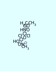 CC(C)OC(=O)C(=O)Nc1cc(Cl)c(Oc2ccc(O)c(C(=O)N(C)C3CCC3)c2)c(Cl)c1